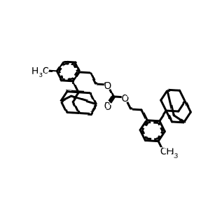 Cc1ccc(CCOC(=O)OCCc2ccc(C)cc2C23CC4CC(CC(C4)C2)C3)c(C23CC4CC(CC(C4)C2)C3)c1